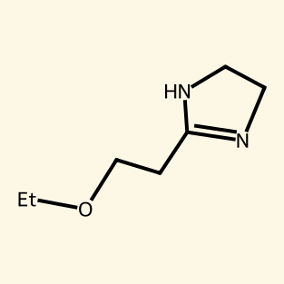 CCOCCC1=NCCN1